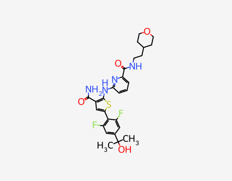 CC(C)(O)c1cc(F)c(-c2cc(C(N)=O)c(Nc3cccc(C(=O)NCCC4CCOCC4)n3)s2)c(F)c1